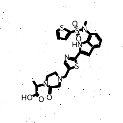 CC(C(=O)O)N1CCN(Cc2cnc(-c3cc4cccc(N(C)S(=O)(=O)c5cccs5)c4[nH]3)s2)CC1=O